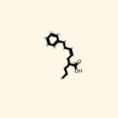 CCCC(C/C=C\CCc1ccccc1)C(=O)O